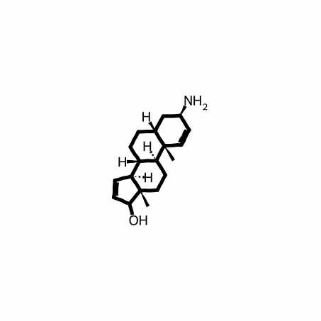 C[C@]12C=C[C@H](N)C[C@H]1CC[C@@H]1[C@@H]2CC[C@]2(C)C(O)C=C[C@@H]12